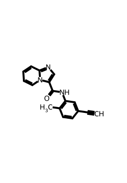 C#Cc1ccc(C)c(NC(=O)c2cnc3ccccn23)c1